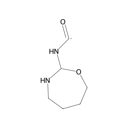 O=[C]NC1NCCCCO1